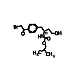 CC(C)COC(=O)N[C@H](CCO)Cc1ccc(C(=O)CBr)cc1